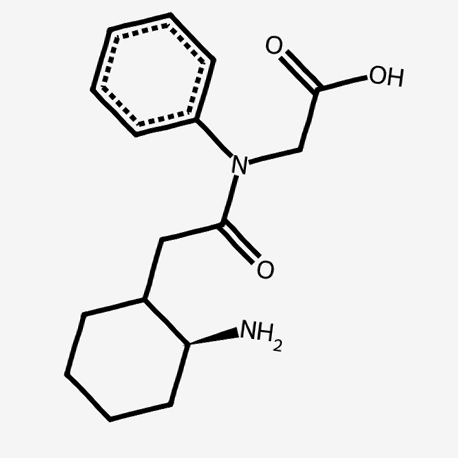 N[C@H]1CCCCC1CC(=O)N(CC(=O)O)c1ccccc1